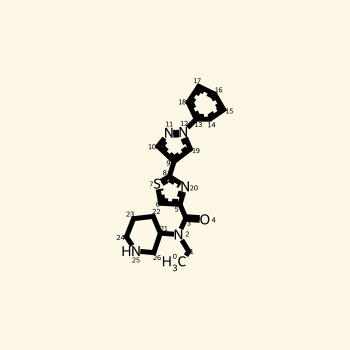 CCN(C(=O)c1csc(-c2cnn(-c3ccccc3)c2)n1)C1CCCNC1